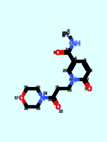 CC(C)NC(=O)c1ccc(=O)n(CCC(=O)N2CCOCC2)c1